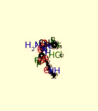 CC(N)c1oc(-c2ccc(OC(F)F)c(OCCCCC(=O)NCC3CC3)c2)nc1C(=O)NCc1ccc(F)cc1F.Cl